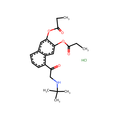 CCC(=O)Oc1cc2cccc(C(=O)CNC(C)(C)C)c2cc1OC(=O)CC.Cl